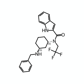 O=C(c1cc2ccccc2[nH]1)N(CC(F)(F)F)[C@H]1CCC[C@H](NCc2ccccc2)C1